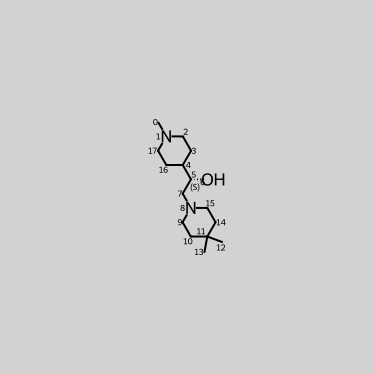 CN1CCC([C@H](O)CN2CCC(C)(C)CC2)CC1